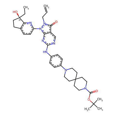 C=CCn1c(=O)c2cnc(Nc3ccc(N4CCC5(CCN(C(=O)OC(C)(C)C)CC5)CC4)cc3)nc2n1-c1ccc2c(n1)[C@@](O)(CC)CC2